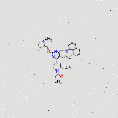 C=CC(=O)N1CCN(c2nc(OCC3CCCN3C)nc3c2CCN(c2cccc4cccc(C#N)c24)C3)CC1CC#N